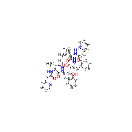 CC(C)[C@H](NC(=O)Cc1ccccn1)C(=O)N[C@@H](Cc1ccccc1)[C@@H](O)[C@H](O)[C@H](Cc1ccccc1)NC(=O)[C@@H](NC(=O)Cc1ccccn1)C(C)C